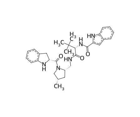 C[C@H]1C[C@@H](CNC(=O)[C@@H](NC(=O)c2cc3ccccc3[nH]2)C(C)(C)C)N(C(=O)[C@H]2Cc3ccccc3N2)C1